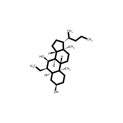 CCCC(C)[C@H]1CC[C@H]2[C@@H]3[C@H](O)[C@H](CC)[C@@H]4C[C@H](O)CC[C@]4(C)[C@H]3CC[C@]12C